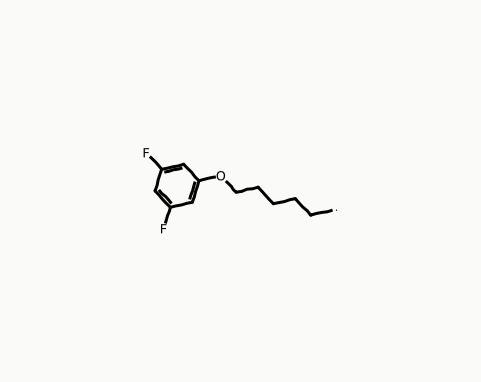 [CH2]CCCCCOc1cc(F)cc(F)c1